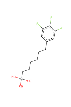 O[Si](O)(O)CCCCCCc1cc(F)c(F)c(F)c1